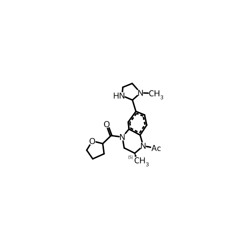 CC(=O)N1c2ccc(C3NCCN3C)cc2N(C(=O)C2CCCO2)C[C@@H]1C